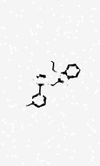 CCCn1c(Cn2ccnc2-c2cccc(Cl)c2)nc2ccccc21